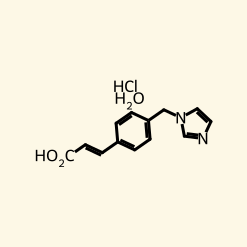 Cl.O.O=C(O)C=Cc1ccc(Cn2ccnc2)cc1